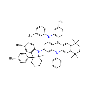 CC(C)(C)c1ccc(C23CCCCC2(C)N(c2cc4c5c(c2)N(c2ccccc2)c2cc6c(cc2B5c2ccc(C(C)(C)C)cc2N4c2cccc(C(C)(C)C)c2)C(C)(C)CCC6(C)C)c2ccc(C(C)(C)C)cc23)cc1